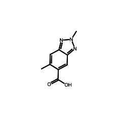 Cc1cc2nn(C)nc2cc1C(=O)O